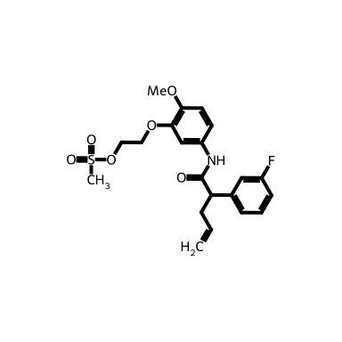 C=CCC(C(=O)Nc1ccc(OC)c(OCCOS(C)(=O)=O)c1)c1cccc(F)c1